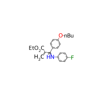 C=C(C(=O)OCC)[C@H](Nc1ccc(F)cc1)c1ccc(OCCCC)cc1